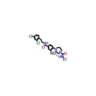 CCNC(=O)N1CCCN(c2ccc(C(=O)NCCc3ccc(Cl)cc3Cl)cc2[N+](=O)[O-])CC1